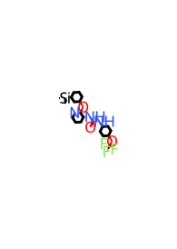 C[Si](C)(C)c1cccc(Oc2ncccc2NC(=O)Nc2ccc(OC(F)(F)F)cc2)c1